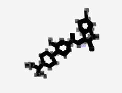 CC(C)N1CCN(c2ccc(N/C=C3/C(=O)Nc4cc(F)ccc43)cc2F)CC1